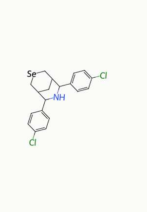 Clc1ccc(C2NC(c3ccc(Cl)cc3)C3C[Se]CC2C3)cc1